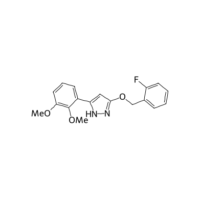 COc1cccc(-c2cc(OCc3ccccc3F)n[nH]2)c1OC